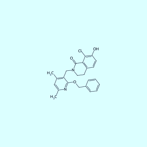 Cc1cc(C)c(CN2CCc3ccc(O)c(Cl)c3C2=O)c(OCc2ccccc2)n1